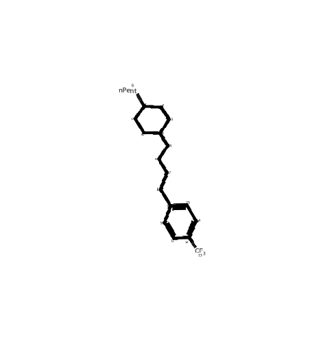 CCCCCC1CCC(CCCCc2ccc(C(F)(F)F)cc2)CC1